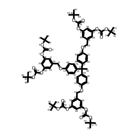 CC(C)(C)OC(=O)Oc1cc(COc2ccc(C(C)(c3ccc(OCc4cc(OC(=O)OC(C)(C)C)cc(OC(=O)OC(C)(C)C)c4)cc3)c3ccc(OCc4cc(OC(=O)OC(C)(C)C)cc(OC(=O)OC(C)(C)C)c4)cc3)cc2)cc(OC(=O)OC(C)(C)C)c1